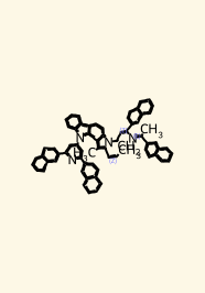 C=C(/C=C(\N=C(/C)c1ccc2ccccc2c1)c1ccc2ccccc2c1)n1c(/C=C\C)c(C)c2c1ccc1c3ccccc3n(-c3cc(-c4ccc5ccccc5c4)nc(-c4ccc5ccccc5c4)c3)c12